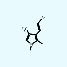 Cc1c(C=CBr)c(C(F)(F)F)cn1C